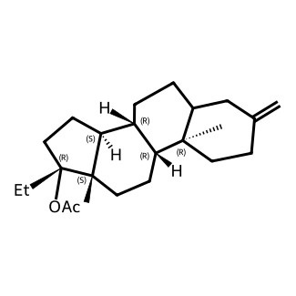 C=C1CC[C@]2(C)C(CC[C@@H]3[C@H]2CC[C@@]2(C)[C@H]3CC[C@@]2(CC)OC(C)=O)C1